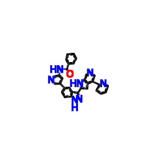 O=C(Nc1cncc(-c2ccc3[nH]nc(-c4cc5c(-c6ccccn6)cncc5[nH]4)c3c2)c1)c1ccccc1